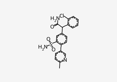 Cc1ccc(-c2ccc(C(C(N)=O)c3ccccc3Cl)cc2S(N)(=O)=O)cn1